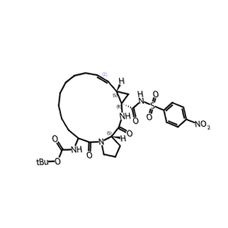 CC(C)(C)OC(=O)NC1CCCCCCC/C=C\[C@@H]2C[C@@]2(C(=O)NS(=O)(=O)c2ccc([N+](=O)[O-])cc2)NC(=O)[C@@H]2CCCN2C1=O